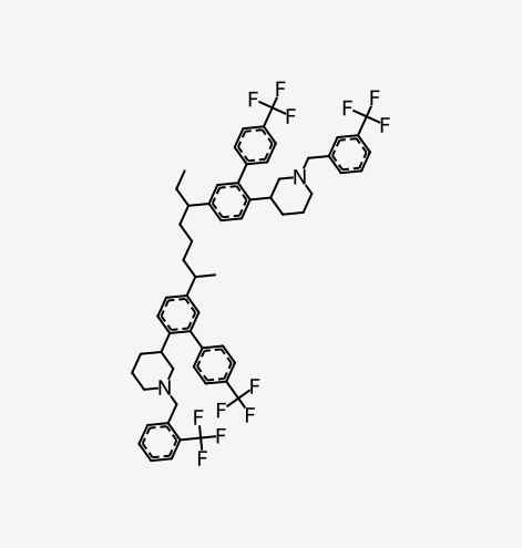 CCC(CCCC(C)c1ccc(C2CCCN(Cc3ccccc3C(F)(F)F)C2)c(-c2ccc(C(F)(F)F)cc2)c1)c1ccc(C2CCCN(Cc3cccc(C(F)(F)F)c3)C2)c(-c2ccc(C(F)(F)F)cc2)c1